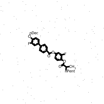 CCCCCCCCCCOc1ccc(-c2ccc(C(=O)Oc3ccc(OC(=O)C(C)CCCCC)c(F)c3)cc2)cc1F